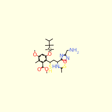 COC(=O)c1c(C)c(OC)cc(O[Si](C)(C)C(C)(C)C(C)C)c1[C@H](S)CC(NC(C)=S)c1nc(CN)no1